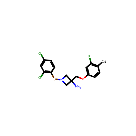 N#Cc1ccc(OCC2(N)CN(Sc3ccc(Cl)cc3Cl)C2)cc1F